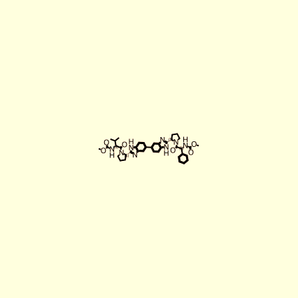 COC(=O)N[C@H](C(=O)N1CCC[C@H]1c1nc2cc(-c3ccc4[nH]c([C@@H]5CCCN5C(=O)[C@H](NC(=O)OC)c5ccccc5)nc4c3)ccc2[nH]1)C(C)C